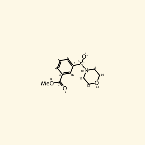 COC(=O)c1cccc([S+]([O-])N2CCOCC2)c1